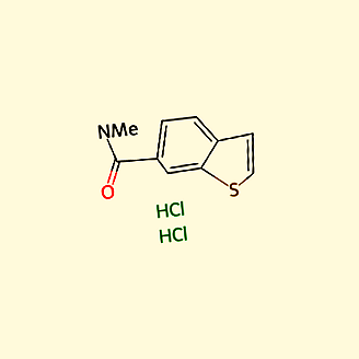 CNC(=O)c1ccc2ccsc2c1.Cl.Cl